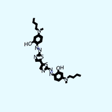 CCCCN(C)c1ccc(/N=N/c2ncc(-c3cnc(/N=N/c4ccc(N(C)CCCC)cc4O)s3)s2)c(O)c1